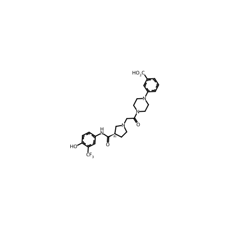 O=C(O)c1cccc(N2CCN(C(=O)CN3CC[C@@H](C(=O)Nc4ccc(O)c(C(F)(F)F)c4)C3)CC2)c1